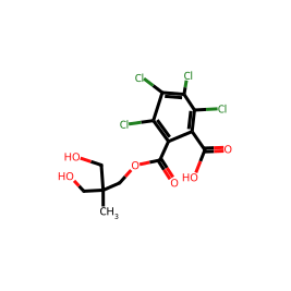 CC(CO)(CO)COC(=O)c1c(Cl)c(Cl)c(Cl)c(Cl)c1C(=O)O